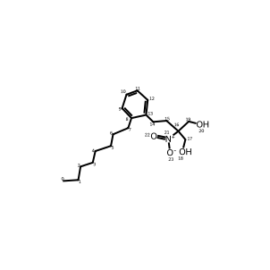 CCCCCCCCc1ccccc1CCC(CO)(CO)[N+](=O)[O-]